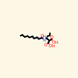 CCCCC/C=C/C=C/C(=O)N[C@@H](CCC)C(C(=O)O)C(=O)O